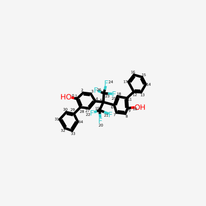 Oc1ccc(C(c2ccc(O)c(-c3ccccc3)c2)(C(F)(F)F)C(F)(F)F)cc1-c1ccccc1